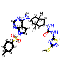 CSc1nsc(NC(=O)N[C@@H]2C[C@@H]3C[C@@H](N(C)c4ncnc5c4ccn5S(=O)(=O)c4ccc(C)cc4)C[C@@H]3C2)n1